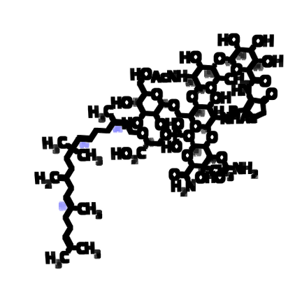 BC1=C(NC(=O)C2O[C@@H](O[C@@H]3C(C)O[C@@H](O[C@@H]4C(CO[C@@H]5OC(CO)[C@@H](O)C(O)C5O)O[C@@H](OC5[C@@H](OP(=O)(O)OC[C@@H](OC/C=C(/C)CC/C=C/C(C)(C)CCC(=C)C/C=C(\C)CCC=C(C)C)C(=O)O)OC(C(N)=O)[C@@](C)(O)[C@@H]5OC(N)=O)C(NC(C)=O)C4O)[C@@H](NC(C)=O)C3O)[C@@H](O)C(O)[C@H]2O)C(=O)CC1